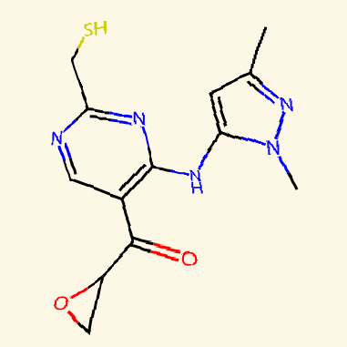 Cc1cc(Nc2nc(CS)ncc2C(=O)C2CO2)n(C)n1